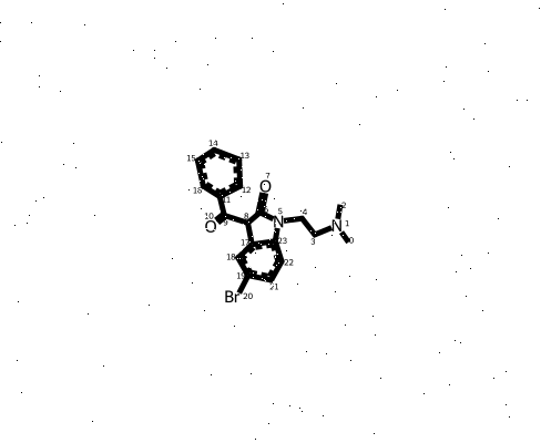 CN(C)CCN1C(=O)C(C(=O)c2ccccc2)c2cc(Br)ccc21